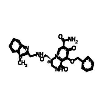 Cn1c(CNOC[C@H]2CNC(=O)c3c(OCc4ccccc4)c(=O)c(C(N)=O)cn32)nc2ccccc21